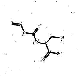 C=COC(=O)N[C@@H](CS)C(=O)O